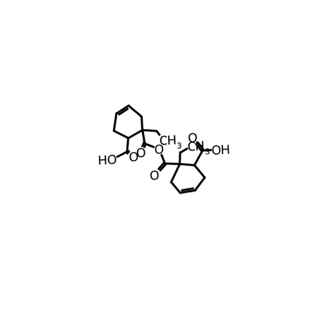 CCC1(C(=O)OC(=O)C2(CC)CC=CCC2C(=O)O)CC=CCC1C(=O)O